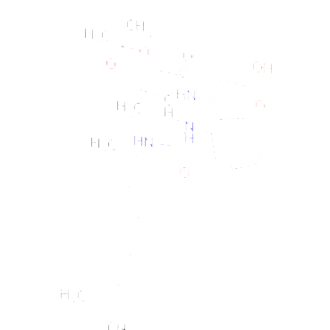 CC(C)CCCCCCCC(C)NC(=O)NC1CCCCCC1C(CC(=O)O)NC(=O)C1OC(C)(C)OCC1(C)C